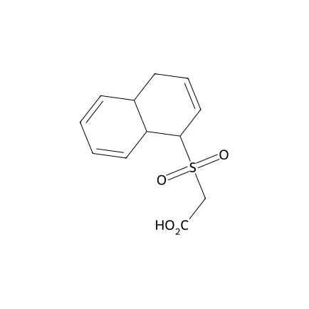 O=C(O)CS(=O)(=O)C1C=CCC2C=CC=CC21